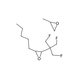 CC1CO1.CCCCCC1OC1C(CF)(CF)CF